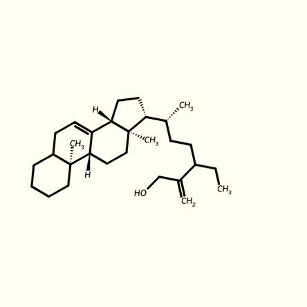 C=C(CO)C(CC)CC[C@@H](C)[C@H]1CC[C@H]2C3=CCC4CCCC[C@]4(C)[C@H]3CC[C@]12C